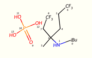 CCC(C)NC(C)(CCC(F)(F)F)CC(F)(F)F.O=P(O)(O)O